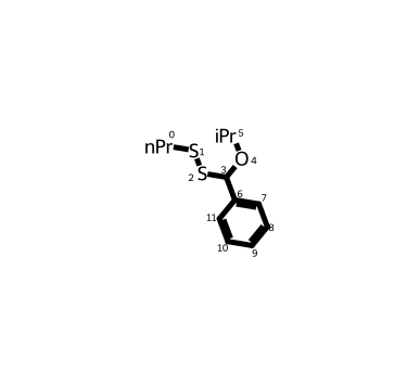 CCCSSC(OC(C)C)c1ccccc1